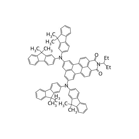 CCC(CC)N1C(=O)c2ccc3c4cc(N(c5ccc6c(c5)C(C)(C)c5ccccc5-6)c5ccc6c(c5)C(C)(C)c5ccccc5-6)cc5cc(N(c6ccc7c(c6)C(C)(C)c6ccccc6-7)c6ccc7c(c6)C(C)(C)c6ccccc6-7)cc(c6ccc(c2c36)C1=O)c54